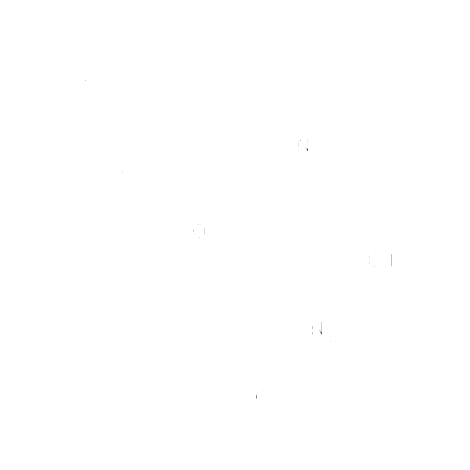 Cc1nc(Cl)cc(OCc2ccccc2)c1C#N